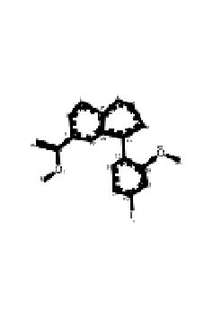 C=C(OC)c1ccc2cccc(-c3ccc(F)cc3OC)c2c1